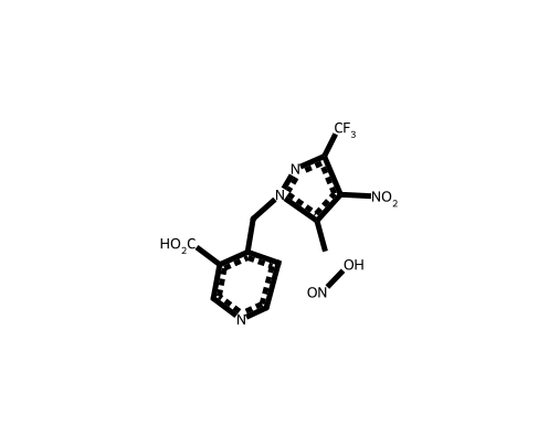 Cc1c([N+](=O)[O-])c(C(F)(F)F)nn1Cc1ccncc1C(=O)O.O=NO